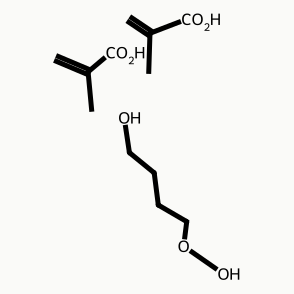 C=C(C)C(=O)O.C=C(C)C(=O)O.OCCCCOO